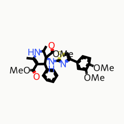 COC(=O)C1=C(C)NC(C)C(Nc2nc(-c3ccc(OC)c(OC)c3)cs2)(C(=O)OC)C1c1ccccc1